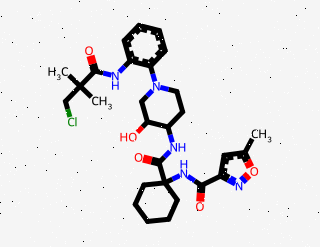 Cc1cc(C(=O)NC2(C(=O)NC3CCN(c4ccccc4NC(=O)C(C)(C)CCl)CC3O)CCCCC2)no1